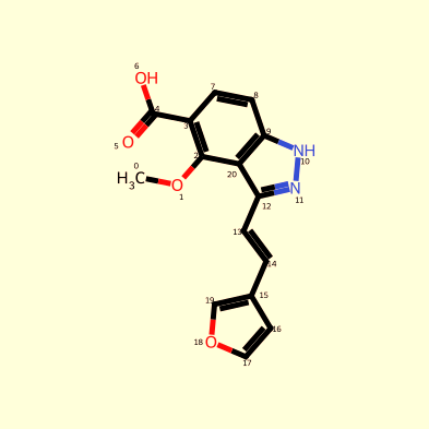 COc1c(C(=O)O)ccc2[nH]nc(/C=C/c3ccoc3)c12